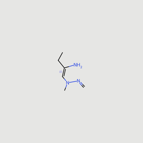 C=NN(C)/C=C(\N)CC